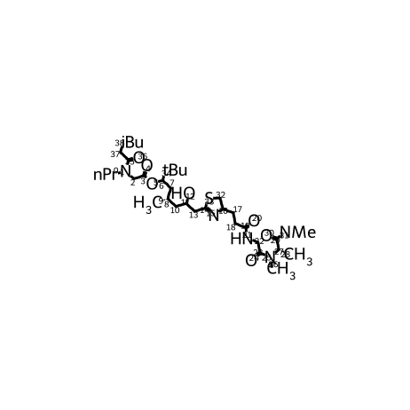 CCCN(CC(=O)OC(C[C@@H](C)CC(O)CC1=NC(CCC(=O)NCC(=O)N(C)[C@@H](C)C(=O)NC)CS1)C(C)(C)C)C(=O)CC(C)CC